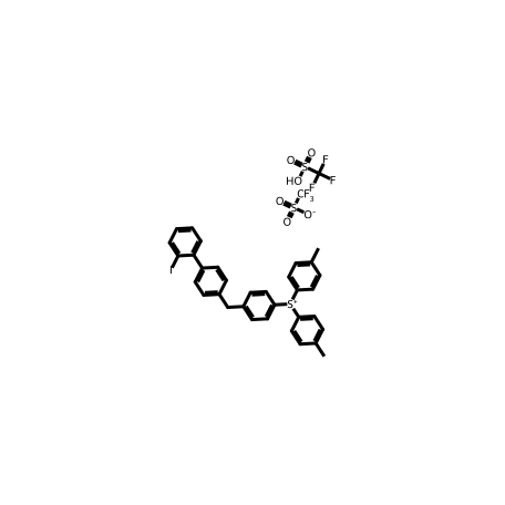 Cc1ccc([S+](c2ccc(C)cc2)c2ccc(Cc3ccc(-c4ccccc4I)cc3)cc2)cc1.O=S(=O)(O)C(F)(F)F.O=S(=O)([O-])C(F)(F)F